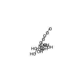 O=CCCOCCOCCOCCOCCN(CC(O)C(O)C(O)CCO)C(=O)C(O)C(O)C(O)CCO